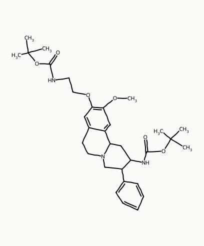 COc1cc2c(cc1OCCNC(=O)OC(C)(C)C)CCN1CC(c3ccccc3)C(NC(=O)OC(C)(C)C)CC21